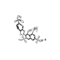 Cc1ccc(S(=O)(=O)O)cc1N=Nc1c(S(=O)(=O)O)cc2cc(S(=O)(=O)O)cc(N)c2c1O